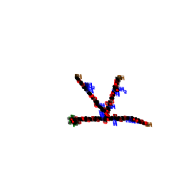 NN/C(=C\NCCOCCOCCC(=O)NCCCC[C@H](NC(=O)CCCNC(=O)CCOCCOCCN/C=C(/COCCOCCS)NN)C(=O)N[C@@H](CCCCNC(=O)CCOCCOCCN1C=C(COCCOCCS)NN1)C(=O)NCCOCCOCCOCCOCCC(=O)Oc1c(F)c(F)c(F)c(F)c1F)COCCOCCS